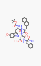 COc1ccc2[nH]cc(CC(NC(=O)OC(C)(C)C)C(=O)N[C@@H](Cc3ccc4ccccc4c3)C(=O)N[C@@H](CC(=O)O)C(=O)N[C@@H](Cc3ccccc3)C(N)=O)c2c1